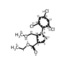 CCOC(=O)c1cnn(-c2c(Cl)cc(Cl)cc2Cl)c1COC